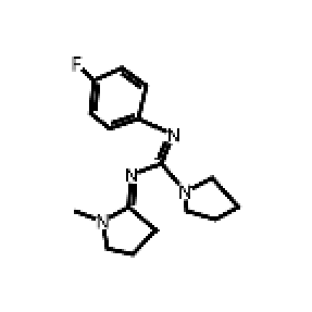 CN1CCCC1=NC(=Nc1ccc(F)cc1)N1CCCC1